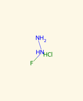 Cl.NNF